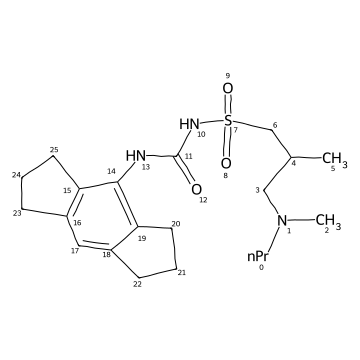 CCCN(C)CC(C)CS(=O)(=O)NC(=O)Nc1c2c(cc3c1CCC3)CCC2